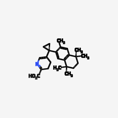 Cc1cc2c(cc1C1(C3=CN=C(C(=O)O)CC3)CC1)C(C)(C)CCC2(C)C